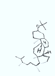 CC(C)[C@@H](C)CC[C@@H](C)[C@H]1CC[C@H]2[C@@H]3CCC4CC(OC(C)(C)C)CC[C@]4(C)[C@H]3CC[C@]12C